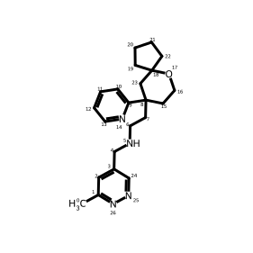 Cc1cc(CNCCC2(c3ccccn3)CCOC3(CCCC3)C2)cnn1